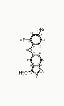 Cc1noc2ccc(Oc3ccc(Br)cc3F)cc12